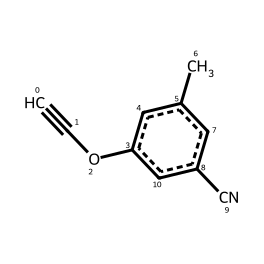 C#COc1cc(C)cc(C#N)c1